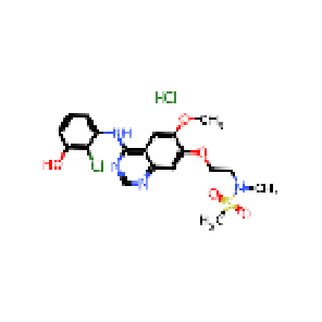 COc1cc2c(Nc3cccc(O)c3Cl)ncnc2cc1OCCN(C)S(C)(=O)=O.Cl